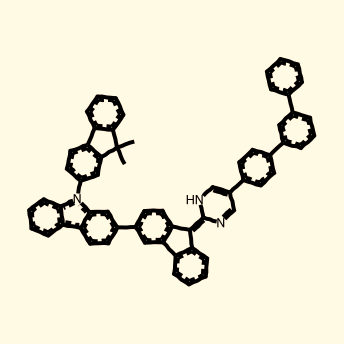 CC1(C)c2ccccc2-c2ccc(-n3c4ccccc4c4ccc(-c5ccc6c(c5)-c5ccccc5/C6=C5\N=CC(c6ccc(-c7cccc(-c8ccccc8)c7)cc6)=CN5)cc43)cc21